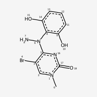 Cn1cc(Br)c(N(N)c2c(O)cccc2O)nc1=O